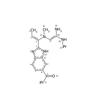 C/C=C(/c1nc2ccc(C(=O)C(C)C)cc2[nH]1)N(C)/C=C(\N)NC(C)C